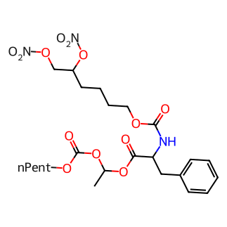 CCCCCOC(=O)OC(C)OC(=O)C(Cc1ccccc1)NC(=O)OCCCCC(CO[N+](=O)[O-])O[N+](=O)[O-]